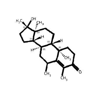 CC1=C2C(C)C[C@@H]3[C@H](CC[C@@]4(C)[C@H]3CC[C@]4(C)O)[C@@]2(C)CCC1=O